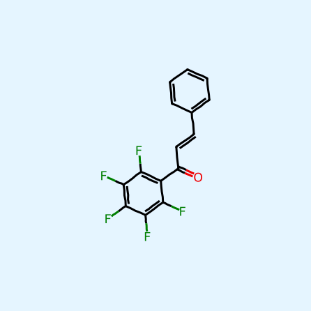 O=C(C=Cc1ccccc1)c1c(F)c(F)c(F)c(F)c1F